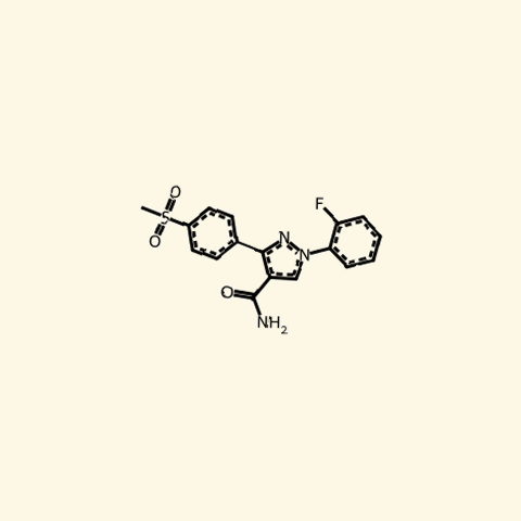 CS(=O)(=O)c1ccc(-c2nn(-c3ccccc3F)cc2C(N)=O)cc1